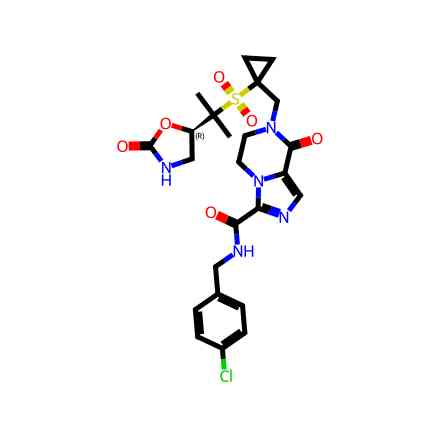 CC(C)([C@H]1CNC(=O)O1)S(=O)(=O)C1(CN2CCn3c(cnc3C(=O)NCc3ccc(Cl)cc3)C2=O)CC1